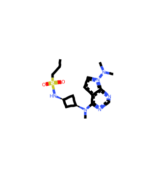 CCCS(=O)(=O)N[C@H]1C[C@@H](N(C)c2ncnc3c2ccn3N(C)C)C1